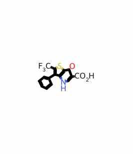 O=C(O)c1c[nH]c2c(-c3ccccc3)c(C(F)(F)F)sc2c1=O